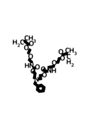 C=C(C)C(=O)OCCOCCNC(=O)OCCN(CCOC(=O)NCCOCCOC(=O)C(=C)C)Cc1ccccc1